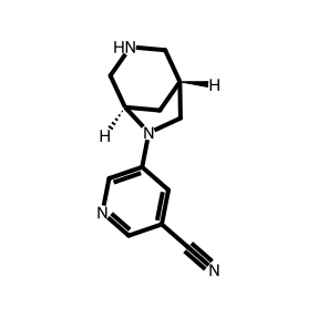 N#Cc1cncc(N2C[C@H]3CNC[C@H]2C3)c1